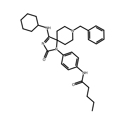 CCCCC(=O)Nc1ccc(N2C(=O)N=C(NC3CCCCC3)C23CCN(Cc2ccccc2)CC3)cc1